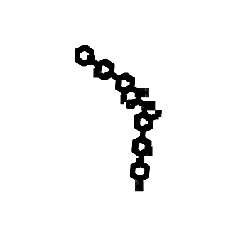 O=C(Nc1ccc(-c2ccc(N3CCCCC3)nc2)cc1F)Nc1ccc(-c2ccc(N3CCNCC3)nc2)cc1F